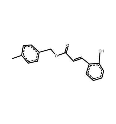 Cc1ccc(COC(=O)/C=C/c2ccccc2O)cc1